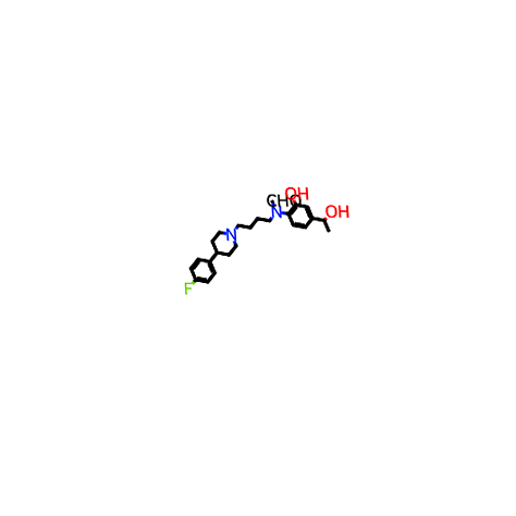 CC(O)c1ccc(N(C=O)CCCCN2CCC(c3ccc(F)cc3)CC2)c(O)c1